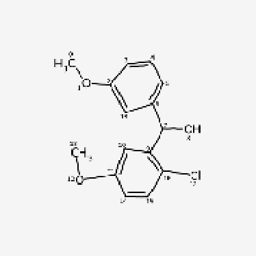 COc1cccc(C(O)c2cc(OC)ccc2Cl)c1